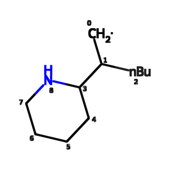 [CH2]C(CCCC)C1CCCCN1